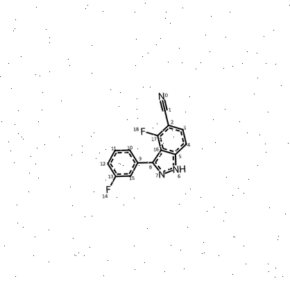 N#Cc1ccc2[nH]nc(-c3cccc(F)c3)c2c1F